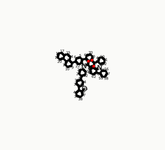 c1ccc(-c2ccc(-c3cccc4c3ccc3ccccc34)cc2N(c2ccc(-c3ccc4c(c3)oc3ccccc34)cc2)c2ccc(-c3ccccc3-n3c4ccccc4c4ccccc43)cc2)cc1